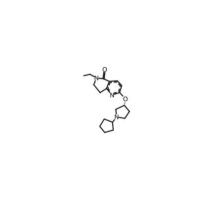 CCN1CCc2nc(O[C@@H]3CCN(C4CCCC4)C3)ccc2C1=O